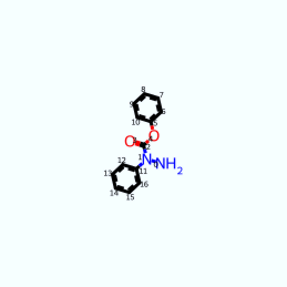 NN(C(=O)Oc1ccccc1)c1ccccc1